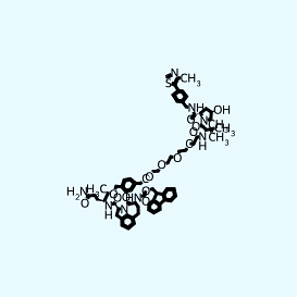 Cc1ncsc1-c1ccc(CNC(=O)[C@@H]2C[C@@H](O)CN2C(=O)[C@@H](NC(=O)COCCOCCOCCOCCc2ccc(CO[C@H](C)[C@H](CCC(N)=O)NC(=O)[C@@H]3Cc4cccc5c4N3C(=O)[C@@H](NC(=O)OCC3c4ccccc4-c4ccccc43)CC5)cc2)C(C)(C)C)cc1